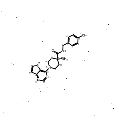 NC1(C(=O)NCc2ccc(Cl)cc2)CCN(c2ncnc3ccsc23)CC1